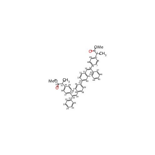 COC(=O)C(C)c1ccc(C(=Cc2ccc(-c3ccc(C=C(c4ccccc4)c4ccc(C(C)C(=O)OC)cc4)cc3)cc2)c2ccccc2)cc1